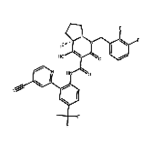 C[C@]12CCCN1N(Cc1cccc(F)c1F)C(=O)C(C(=O)Nc1ccc(C(F)(F)F)cc1-c1cc(C#N)ccn1)=C2O